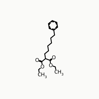 CCOC(=O)C(CCCCCCc1ccccc1)C(=O)OCC